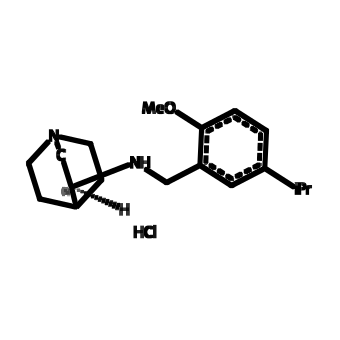 COc1ccc(C(C)C)cc1CN[C@@H]1CN2CCC1CC2.Cl